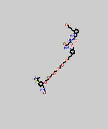 Cc1ncsc1-c1ccc(CNC=O)c(OCCOCCOCCOCCOCCOCCCc2ccc(COC[C@H](CCC(N)=O)NC(=O)[C@@H]3Cc4cccc(CCCC=O)c4N3)cc2)c1